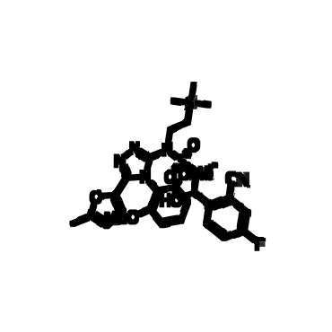 COc1cccc(OC)c1-n1c(-c2ccc(C)o2)nnc1N(CC[Si](C)(C)C)S(=O)(=O)[C@H](C)[C@H](O)c1ccc(F)cc1C#N